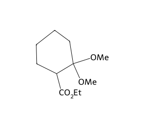 CCOC(=O)C1CCCCC1(OC)OC